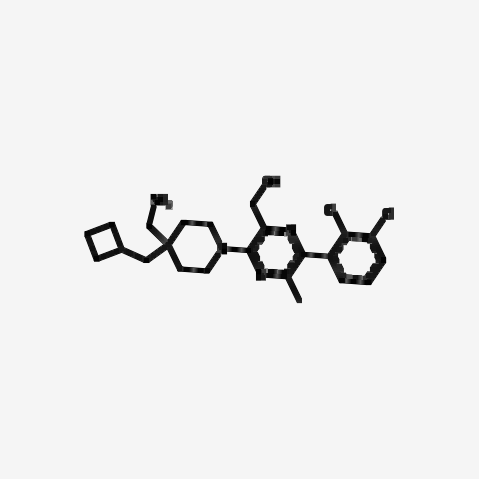 Cc1nc(N2CCC(CN)(CC3CCC3)CC2)c(CO)nc1-c1cccc(Cl)c1Cl